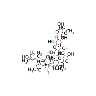 CO[C@@H]1[C@@H](O)[C@H](O[C@@H]2[C@@H](O)[C@H](O[C@H]3[C@H](O)[C@@H](O)[C@H](O[C@H]4[C@H](O[C@H]5CC[C@]6(C)[C@H]7CC[C@]89C(=O)O[C@@](C)(C/C=C/C(C)(C)O)[C@H]8[C@@H](OC(C)=O)C[C@@]9(C)C7=CC[C@H]6C5(C)C)OC[C@@H](O)[C@@H]4O)O[C@@H]3CO)OC[C@H]2O)O[C@H](CO)[C@H]1O